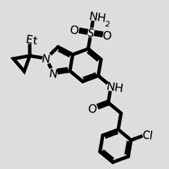 CCC1(n2cc3c(S(N)(=O)=O)cc(NC(=O)Cc4ccccc4Cl)cc3n2)CC1